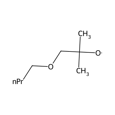 CCCCOCC(C)(C)[O]